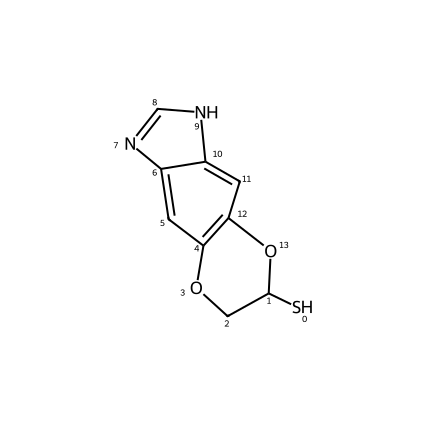 SC1COc2cc3nc[nH]c3cc2O1